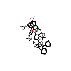 COCOc1cc(OC)cc(/C=C/C[C@@H]2OC(C)(C)O[C@@H]2C(/C=C\CC(O[Si](c2ccccc2)(c2ccccc2)C(C)(C)C)C(F)(F)F)OC(=O)c2ccccc2)c1C(=O)OCC[Si](C)(C)C